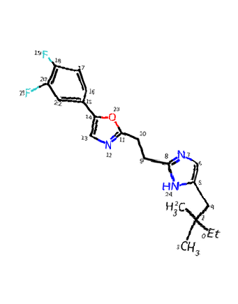 CCC(C)(C)Cc1cnc(CCc2ncc(-c3ccc(F)c(F)c3)o2)[nH]1